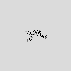 C[C@H]([C@H](c1ccc(C#N)cc1)c1cccc(F)c1)[C@H]1CCCN1C(=O)c1nn(COCC[Si](C)(C)C)cc(O)c1=O